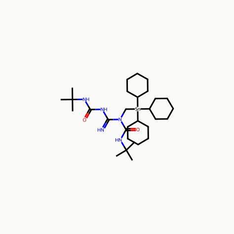 CC(C)(C)NC(=O)NC(=N)N([CH2][Sn]([CH]1CCCCC1)([CH]1CCCCC1)[CH]1CCCCC1)C(=O)NC(C)(C)C